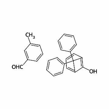 Cc1cccc(C=O)c1.Oc1c2cccc1C2(c1ccccc1)c1ccccc1